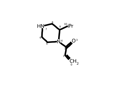 C=CC(=O)N1CCNCC1C(C)C